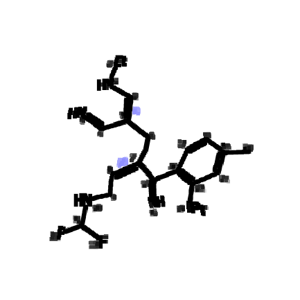 CCN/C=C(\C=N)C/C(=C/CNC(F)F)C(=N)c1ccc(C)cc1C(C)C